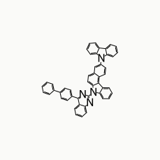 c1ccc(-c2ccc(-c3nc(-n4c5ccccc5c5c6ccc(-n7c8ccccc8c8ccccc87)cc6ccc54)nc4ccccc34)cc2)cc1